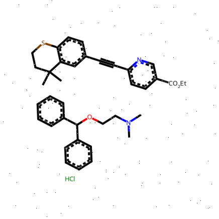 CCOC(=O)c1ccc(C#Cc2ccc3c(c2)C(C)(C)CCS3)nc1.CN(C)CCOC(c1ccccc1)c1ccccc1.Cl